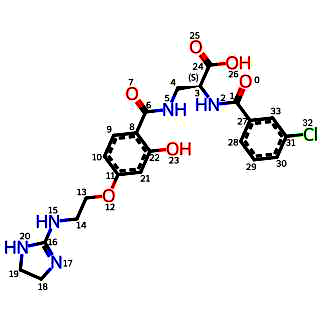 O=C(N[C@@H](CNC(=O)c1ccc(OCCNC2=NCCN2)cc1O)C(=O)O)c1cccc(Cl)c1